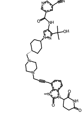 Cn1c(=O)n(C2CCC(=O)NC2=O)c2cccc(C#CCN3CCN(C[C@H]4CC[C@H](n5cc(NC(=O)c6cncc(C#N)c6)c(C(C)(C)O)n5)CC4)CC3)c21